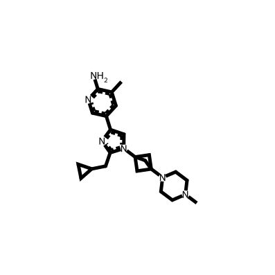 Cc1cc(-c2cn(C34CC(N5CCN(C)CC5)(C3)C4)c(CC3CC3)n2)cnc1N